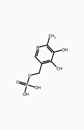 [CH]c1c(COP(=O)(O)O)cnc(C)c1O